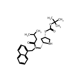 CC(C)CC(=O)N(Cc1cccc2ccccc12)C[C@@H]1C[C@H](SC(=O)OC(C)(C)C)CN1